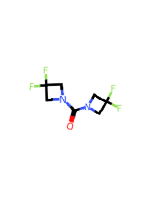 O=C(N1CC(F)(F)C1)N1CC(F)(F)C1